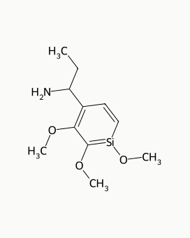 CCC(N)c1cc[si](OC)c(OC)c1OC